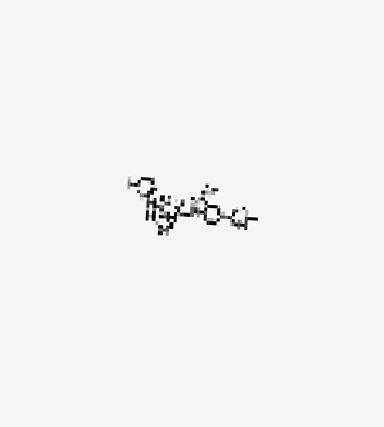 CC(=O)c1nn(CC(=O)N2C[C@H](F)C[C@H]2C(=O)Nc2cccc(I)n2)c2ccc(-c3cnc(C)nc3)cc12